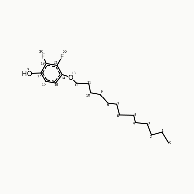 CCCCCCCCCCCCCOc1ccc(O)c(F)c1F